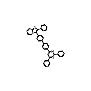 c1ccc(-c2nc(-c3ccccc3)nc(-c3ccc(-c4ccc(-c5c(-c6ccccc6)nc6ccccn56)cc4)cc3)n2)cc1